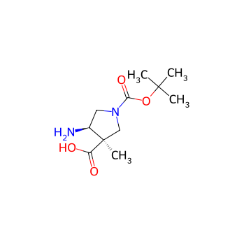 CC(C)(C)OC(=O)N1C[C@H](N)[C@](C)(C(=O)O)C1